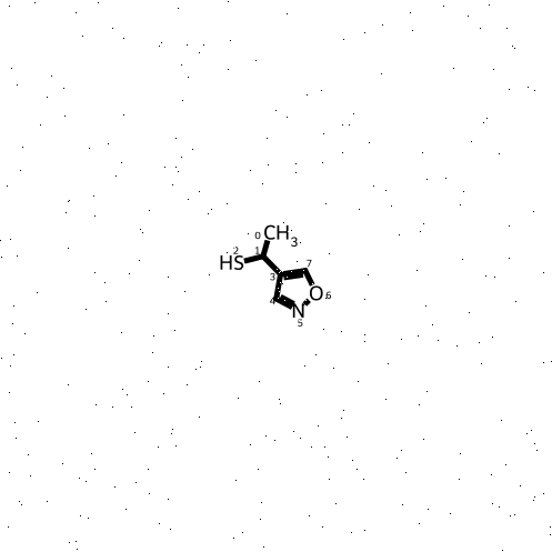 CC(S)c1cnoc1